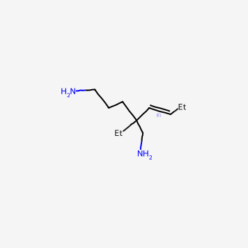 CC/C=C/C(CC)(CN)CCCN